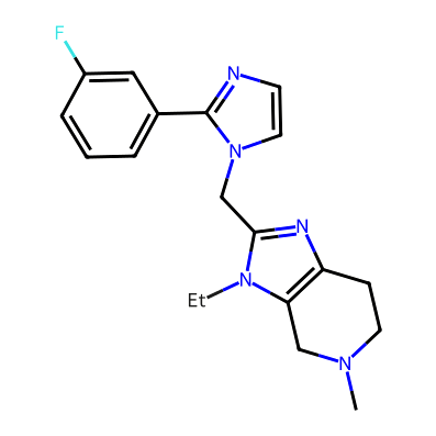 CCn1c(Cn2ccnc2-c2cccc(F)c2)nc2c1CN(C)CC2